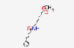 COC(=O)CCCCCCCNC(=O)C=CC=Cc1ccccc1